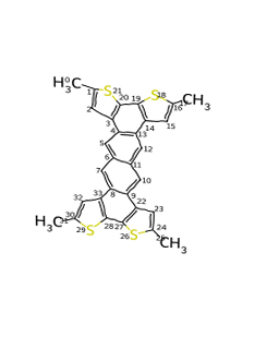 Cc1cc2c3cc4cc5c(cc4cc3c3cc(C)sc3c2s1)c1cc(C)sc1c1sc(C)cc51